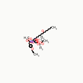 CC#CCOc1ccc(C[C@H](NC(=O)[C@@H](/C=C/CCCCCCC(=O)CCCCCCC)[C@@](O)(CC(=O)OC(C)OC(=O)C(C)C)C(=O)O)C(=O)OC)cc1